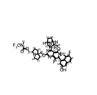 CCc1c(F)ccc2cc(O)cc(-c3nc4c5c(nc(OC[C@@]67CCCN6[C@H](COC(=O)N(C)C(F)(F)F)CC7)nc5c3F)N3C[C@H]5CC[C@H](N5)[C@H]3CO4)c12